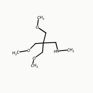 CNCC(COC)(COC)COC